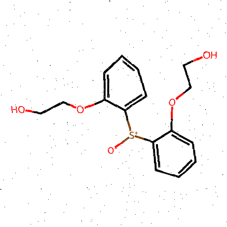 [O-][S+](c1ccccc1OCCO)c1ccccc1OCCO